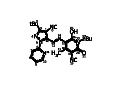 [C-]#[N+]c1c(C(C)(C)C)nn(-c2ccccn2)c1/N=N/c1c(C)c([N+]#[C-])c(=O)n(CCCC)c1O